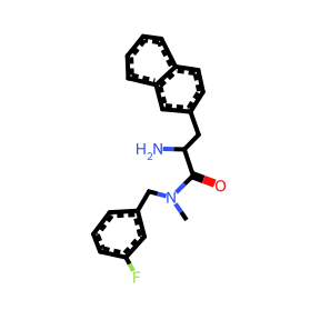 CN(Cc1cccc(F)c1)C(=O)C(N)Cc1ccc2ccccc2c1